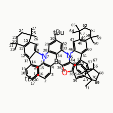 CC(C)(C)c1ccc2c(c1)N(c1cc3c(cc1-c1ccccc1)C(C)(C)CCC3(C)C)c1cc(C(C)(C)C)cc3c1B2c1oc2cc4c(cc2c1N3c1cc2c(cc1-c1ccccc1)C(C)(C)CCC2(C)C)C1(C)CCC4(C)C1